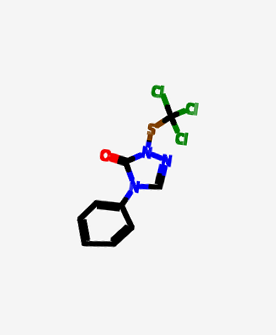 O=c1n(-c2ccccc2)cnn1SC(Cl)(Cl)Cl